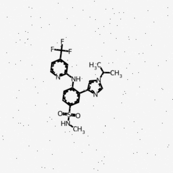 CNS(=O)(=O)c1ccc(Nc2cc(C(F)(F)F)ccn2)c(-c2cn(C(C)C)cn2)c1